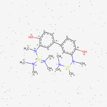 CN(C)[S+](C)N(C)c1cc(-c2ccc(O)c(N(C)[S+](N(C)C)N(C)C)c2)ccc1O